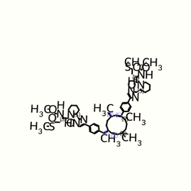 C/C=C1\C=C(\c2ccc(-c3c[nH]c([C@@H]4CCCCN4C(=O)[C@H](CCSC)NC(=O)OC)n3)cc2)[C@H](C)CC[C@@H](C)/C=C\C(=C(/C)c2ccc(-c3c[nH]c([C@@H]4CCCCN4C(=O)[C@H](CCSC)NC(=O)OC)n3)cc2)CC1